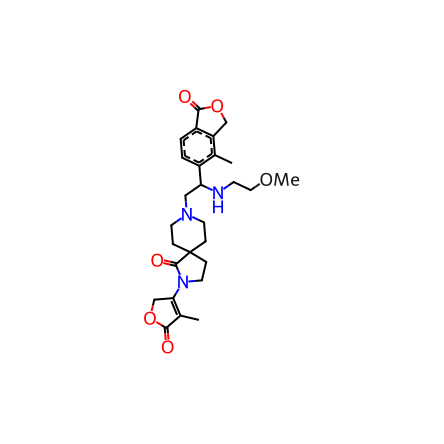 COCCNC(CN1CCC2(CC1)CCN(C1=C(C)C(=O)OC1)C2=O)c1ccc2c(c1C)COC2=O